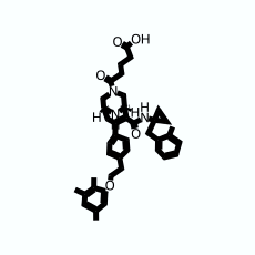 Cc1cc(C)c(C)c(OCCc2ccc(C3=C(C(=O)NC4(Cc5ccccc5C)CC4)[C@H]4CN(C(=O)CCCC(=O)O)C[C@@H](C3)N4)cc2)c1